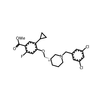 COC(=O)c1cc(C2CC2)c(OC[C@H]2CCCN(Cc3cc(Cl)cc(Cl)c3)C2)cc1F